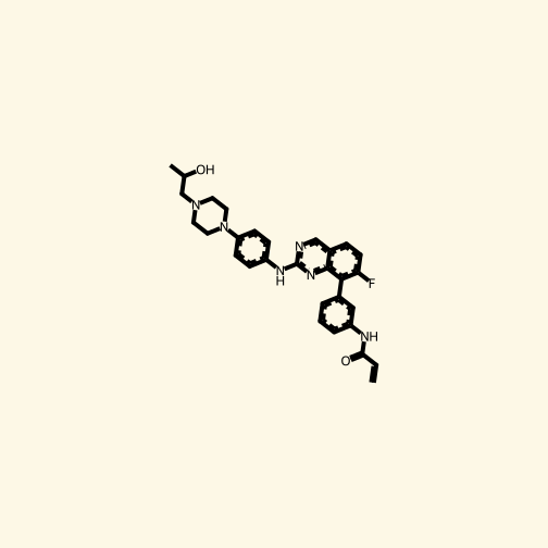 C=CC(=O)Nc1cccc(-c2c(F)ccc3cnc(Nc4ccc(N5CCN(CC(C)O)CC5)cc4)nc23)c1